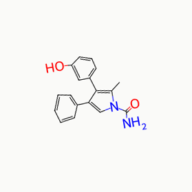 Cc1c(-c2cccc(O)c2)c(-c2ccccc2)cn1C(N)=O